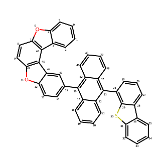 c1ccc2c(c1)oc1ccc3oc4ccc(-c5c6ccccc6c(-c6cccc7c6sc6ccccc67)c6ccccc56)cc4c3c12